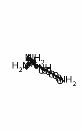 NC(=O)COCCOCCOCCOCCOCC(=O)NCCc1cccc(-c2ccc3nc(-c4cccnc4N)n(-c4ccc(C5(N)CCC5)cc4)c3n2)c1